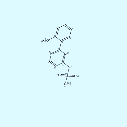 COc1ccccc1-c1nccc(CS(=O)(=O)OC)n1